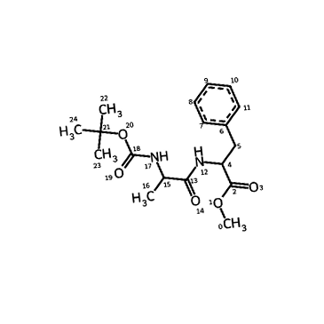 COC(=O)C(Cc1ccccc1)NC(=O)C(C)NC(=O)OC(C)(C)C